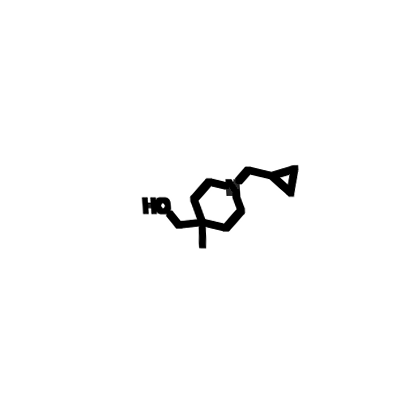 CC1(CO)CCN(CC2CC2)CC1